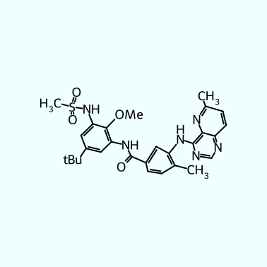 COc1c(NC(=O)c2ccc(C)c(Nc3ncnc4ccc(C)nc34)c2)cc(C(C)(C)C)cc1NS(C)(=O)=O